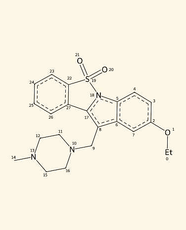 CCOc1ccc2c(c1)c(CN1CCN(C)CC1)c1n2S(=O)(=O)c2ccccc2-1